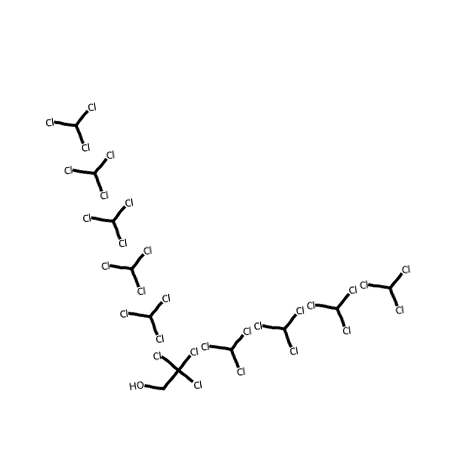 ClC(Cl)Cl.ClC(Cl)Cl.ClC(Cl)Cl.ClC(Cl)Cl.ClC(Cl)Cl.ClC(Cl)Cl.ClC(Cl)Cl.ClC(Cl)Cl.ClC(Cl)Cl.OCC(Cl)(Cl)Cl